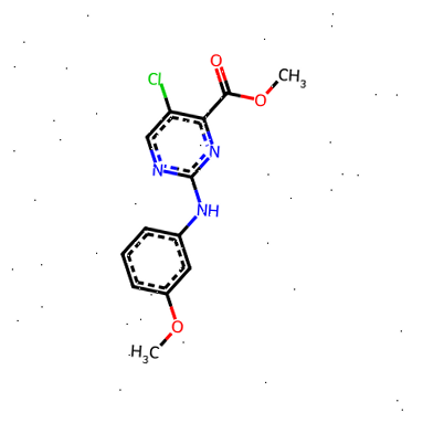 COC(=O)c1nc(Nc2cccc(OC)c2)ncc1Cl